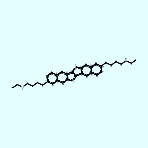 CCOCCCCc1ccc2cc3c(cc2c1)sc1c2cc4ccc(CCCCOCC)cc4cc2sc31